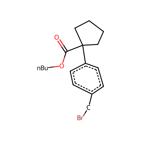 CCCCOC(=O)C1(c2ccc(CBr)cc2)CCCC1